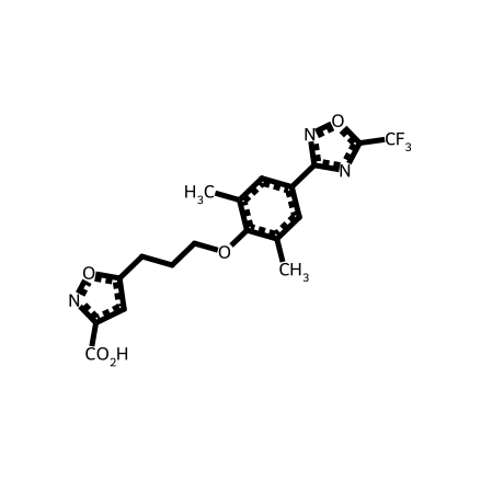 Cc1cc(-c2noc(C(F)(F)F)n2)cc(C)c1OCCCc1cc(C(=O)O)no1